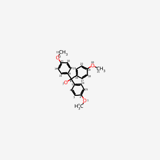 COc1ccc(C([O])(c2ccc(OC)cc2)c2ccc(OC)cc2)cc1